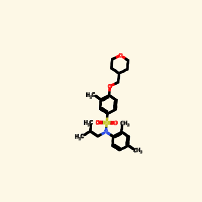 Cc1ccc(N(CC(C)C)S(=O)(=O)c2ccc(OCC3CCOCC3)c(C)c2)c(C)c1